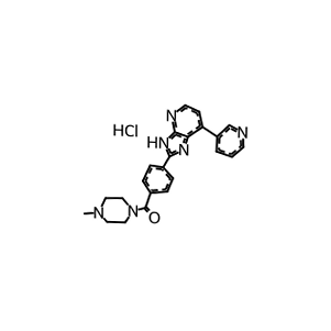 CN1CCN(C(=O)c2ccc(-c3nc4c(-c5cccnc5)ccnc4[nH]3)cc2)CC1.Cl